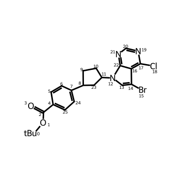 CC(C)(C)OC(=O)c1ccc(C2CCC(n3cc(Br)c4c(Cl)ncnc43)C2)cc1